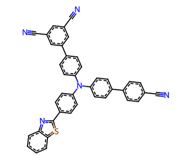 N#Cc1ccc(-c2ccc(N(c3ccc(-c4cc(C#N)cc(C#N)c4)cc3)c3ccc(-c4nc5ccccc5s4)cc3)cc2)cc1